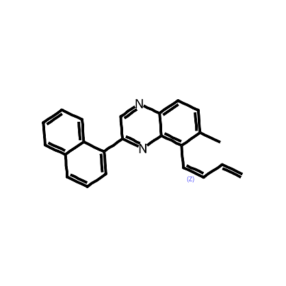 C=C/C=C\c1c(C)ccc2ncc(-c3cccc4ccccc34)nc12